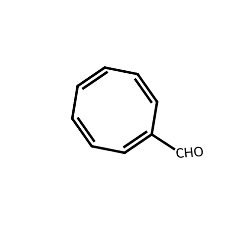 O=CC1=CC=CC=CC=C1